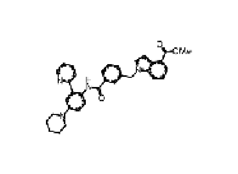 COC(=O)c1cccc2c1ccn2Cc1cccc(C(=O)Nc2ccc(N3CCCCC3)cc2-c2ccccn2)c1